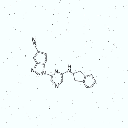 N#Cc1ccc2c(c1)ncn2-c1cncc(NC2Cc3ccccc3C2)n1